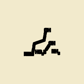 CNCCO.N.O=S(=O)(O)O